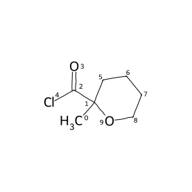 CC1(C(=O)Cl)CCCCO1